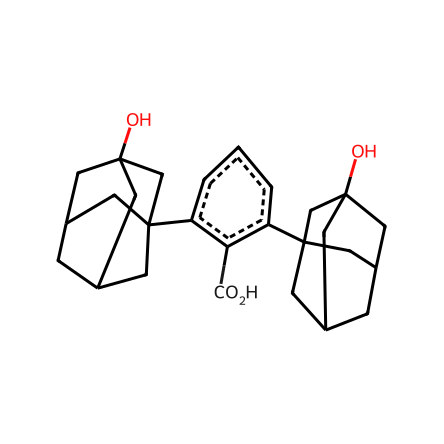 O=C(O)c1c(C23CC4CC(CC(O)(C4)C2)C3)cccc1C12CC3CC(CC(O)(C3)C1)C2